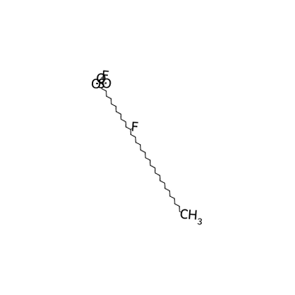 CCCCCCCCCCCCCCCCCCCCCCC(F)CCCCCCCCCCCS(=O)(=O)OF